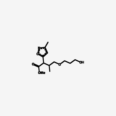 COC(=O)C(c1cc(C)no1)C(C)COCCCO